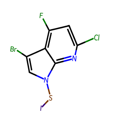 Fc1cc(Cl)nc2c1c(Br)cn2SI